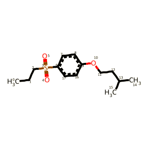 CCCS(=O)(=O)c1ccc(OCCC(C)C)cc1